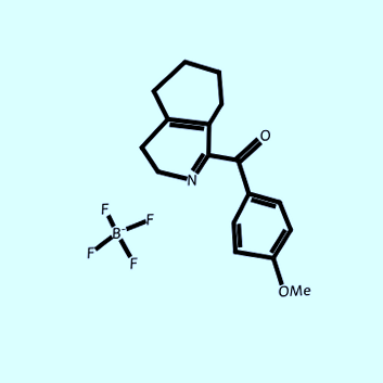 COc1ccc(C(=O)C2=NCCC3=C2CCCC3)cc1.F[B-](F)(F)F